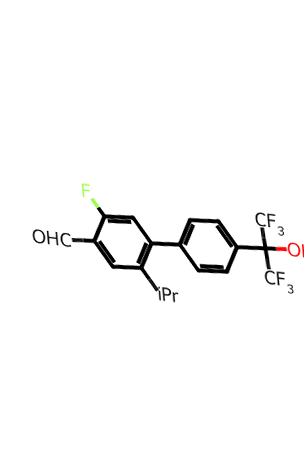 CC(C)c1cc(C=O)c(F)cc1-c1ccc(C(O)(C(F)(F)F)C(F)(F)F)cc1